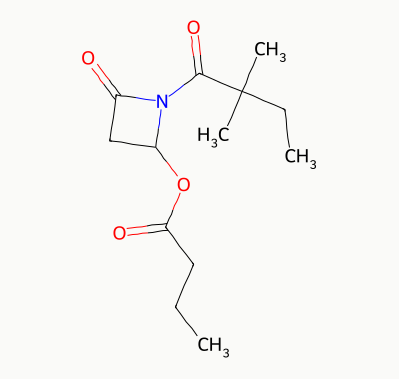 CCCC(=O)OC1CC(=O)N1C(=O)C(C)(C)CC